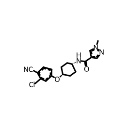 Cn1cc(C(=O)N[C@H]2CC[C@H](Oc3ccc(C#N)c(Cl)c3)CC2)cn1